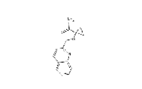 NC(=O)C1(OCc2ccc3ccccc3n2)CC1